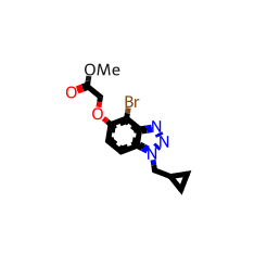 COC(=O)COc1ccc2c(nnn2CC2CC2)c1Br